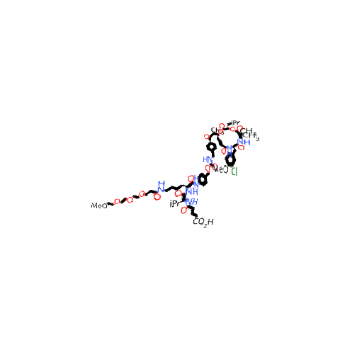 COCCOCCOCCOCCC(=O)NCCCC[C@H](NC(=O)[C@@H](NC(=O)CCCC(=O)O)C(C)C)C(=O)Nc1ccc(COC(=O)NCc2ccc([C@H]3O[C@@H]3[C@@H](C)[C@@H]3C/C=C/C(=O)N[C@H](Cc4ccc(OC)c(Cl)c4)C(=O)NCC(C)(C)C(=O)O[C@@H](CC(C)C)C(=O)O3)cc2)cc1